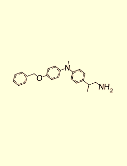 CC(CN)c1ccc(N(C)c2ccc(OCc3ccccc3)cc2)cc1